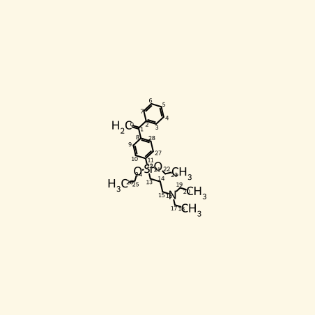 C=C(c1ccccc1)c1ccc([Si](CCCN(CC)CC)(OCC)OCC)cc1